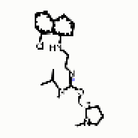 CC(C)N(C)/C(=N\CCNc1cccc2cccc(Cl)c12)OC[C@@H]1CCCN1C